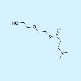 CN(C)CCC(=O)SCCOCCO